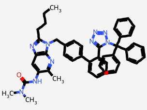 CCCCc1nc2cc(NC(=O)N(C)C)c(C)nc2n1Cc1ccc(-c2ccccc2-c2nnnn2C(c2ccccc2)(c2ccccc2)c2ccccc2)cc1